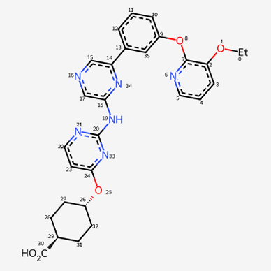 CCOc1cccnc1Oc1cccc(-c2cncc(Nc3nccc(O[C@H]4CC[C@H](C(=O)O)CC4)n3)n2)c1